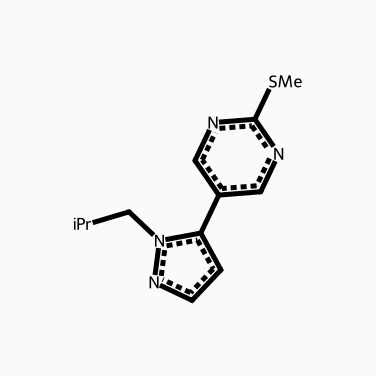 CSc1ncc(-c2ccnn2CC(C)C)cn1